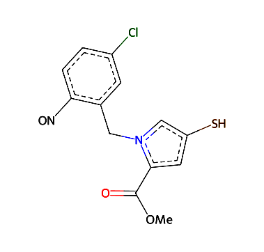 COC(=O)c1cc(S)cn1Cc1cc(Cl)ccc1N=O